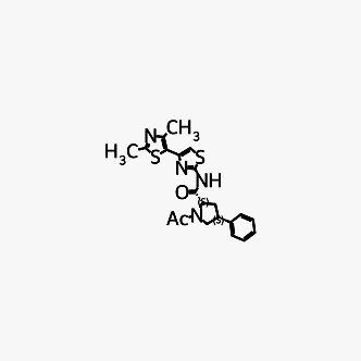 CC(=O)N1C[C@H](c2ccccc2)C[C@H]1C(=O)Nc1nc(-c2sc(C)nc2C)cs1